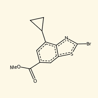 COC(=O)c1cc(C2CC2)c2nc(Br)sc2c1